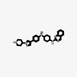 CC(=O)N(c1ccc(-c2cnn(C3CCNCC3)c2)cc1)C1CCC(Nc2ncc3ccccc3n2)CC1